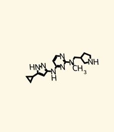 CN(CC1CCNC1)c1nccc(Nc2cc(C3CC3)[nH]n2)n1